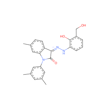 Cc1cc(C)cc(N2C(=O)/C(=N\Nc3cccc(CO)c3O)c3ccc(C)cc32)c1